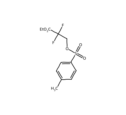 CCOC(=O)C(F)(F)COS(=O)(=O)c1ccc(C)cc1